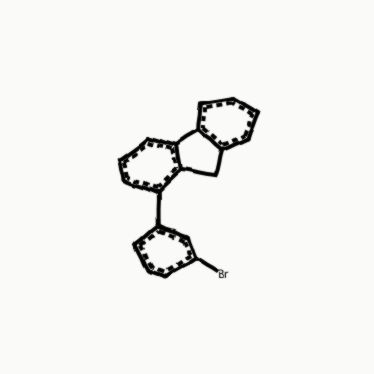 Brc1cccc(-c2cccc3c2Cc2ccccc2-3)c1